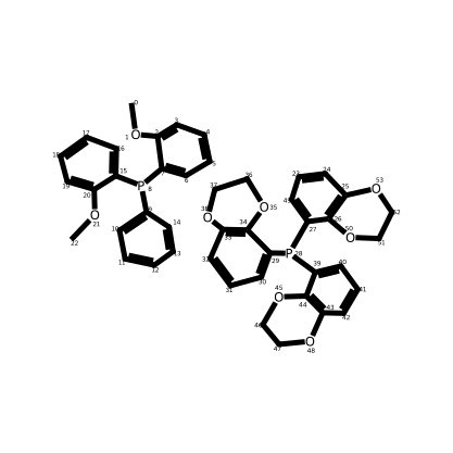 COc1ccccc1P(c1ccccc1)c1ccccc1OC.c1cc2c(c(P(c3cccc4c3OCCO4)c3cccc4c3OCCO4)c1)OCCO2